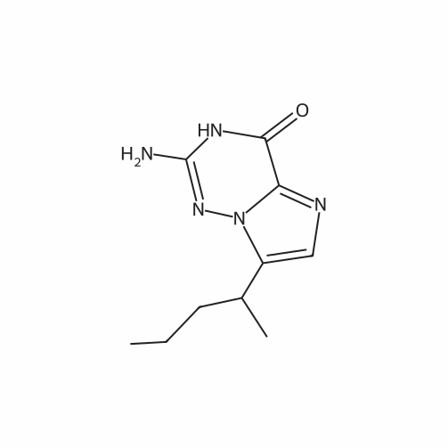 CCCC(C)c1cnc2c(=O)[nH]c(N)nn12